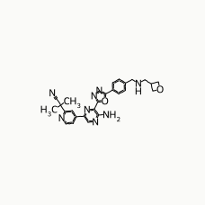 CC(C)(C#N)c1cc(-c2cnc(N)c(-c3nnc(-c4ccc(CNCC5COC5)cc4)o3)n2)ccn1